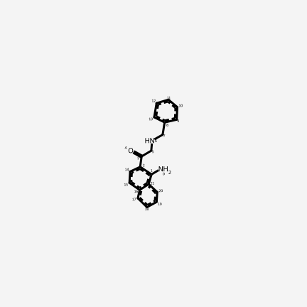 Nc1c(C(=O)CNCc2ccccc2)ccc2ccccc12